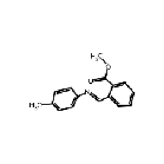 COC(=O)c1ccccc1C=Nc1ccc(C)cc1